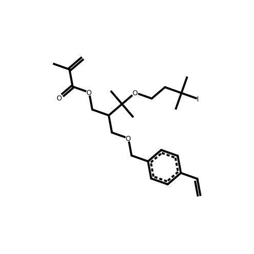 C=Cc1ccc(COCC(COC(=O)C(=C)C)C(C)(C)OCCC(C)(C)I)cc1